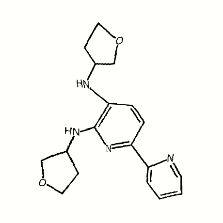 c1ccc(-c2ccc(NC3CCOC3)c(NC3CCOC3)n2)nc1